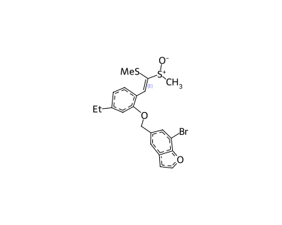 CCc1ccc(/C=C(\SC)[S+](C)[O-])c(OCc2cc(Br)c3occc3c2)c1